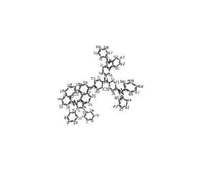 c1ccc(-c2c(-c3ccccc3)n(-c3cccc4ccccc34)c3c2ccc2c(-c4ccc(N(c5ccc(N(c6ccccc6)c6ccccc6)cc5)c5ccc6c(c5)c5ccccc5n6-c5ccccc5)cc4)cccc23)cc1